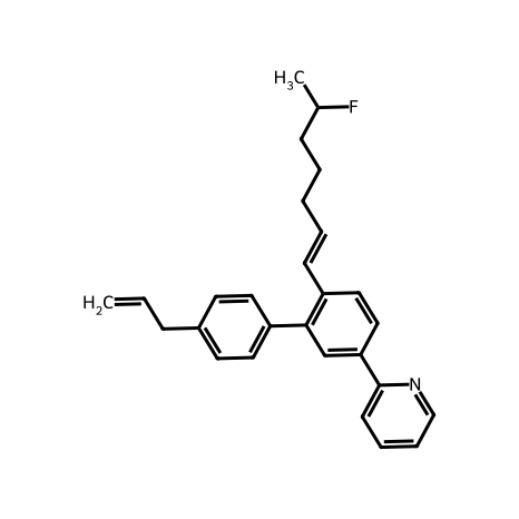 C=CCc1ccc(-c2cc(-c3ccccn3)ccc2C=CCCCC(C)F)cc1